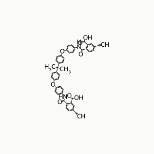 C#Cc1ccc(C(=O)Nc2ccc(Oc3ccc(C(C)(C)c4ccc(Oc5ccc(NC(=O)c6ccc(C#C)cc6C(=O)O)cc5)cc4)cc3)cc2)c(C(=O)O)c1